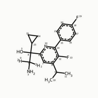 [2H]C([2H])(N)C(O)(c1cc(C(C)C)c(F)c(-c2ccc(F)cc2)n1)C1CC1